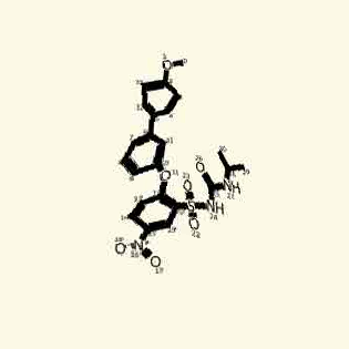 COc1ccc(-c2cccc(Oc3ccc([N+](=O)[O-])cc3S(=O)(=O)NC(=O)NC(C)C)c2)cc1